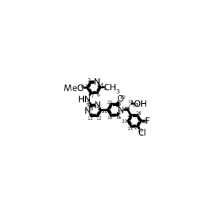 COc1cnc(C)cc1Nc1nccc(-c2ccn([C@H](CO)c3ccc(Cl)c(F)c3)c(=O)c2)n1